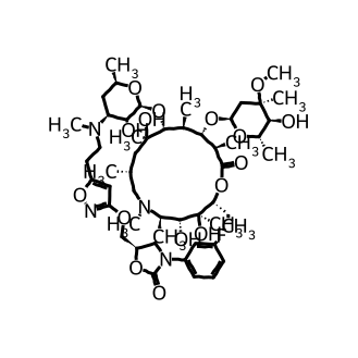 CC[C@H]1OC(=O)[C@H](C)[C@@H](O[C@H]2C[C@@](C)(OC)[C@@H](O)[C@H](C)O2)[C@H](C)[C@@H](O[C@@H]2O[C@H](C)C[C@H](N(C)CCc3cc(OC[C@H]4CN(c5cccc(F)c5)C(=O)O4)no3)[C@H]2O)[C@](C)(O)C[C@@H](C)CN(C)[C@H](C)[C@@H](O)[C@]1(C)O